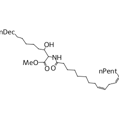 CCCCC/C=C\C/C=C\CCCCCCCC(=O)NC(C(=O)OC)C(O)CCCCCCCCCCCCCCC